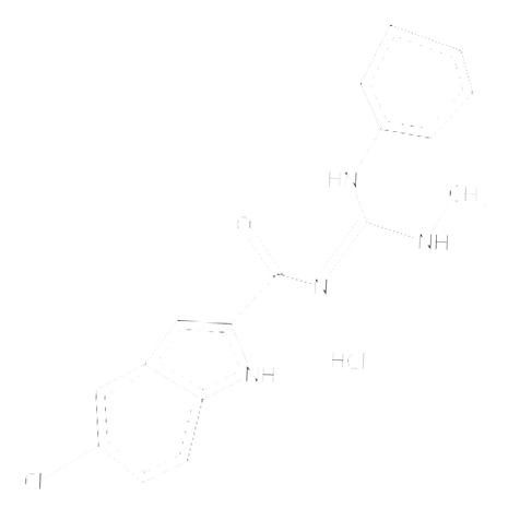 CNC(=NC(=O)c1cc2cc(Cl)ccc2[nH]1)Nc1ccccc1.Cl